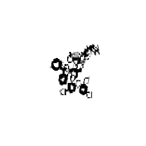 O=C(Cn1cnnn1)NC1C(=O)N2C(C(=O)OC(c3ccccc3)c3ccccc3)=C(COc3cc(Cl)ccc3Oc3ccc(Cl)cc3Cl)CS[C@@H]12